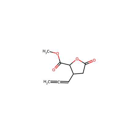 C=C=CC1CC(=O)OC1C(=O)OC